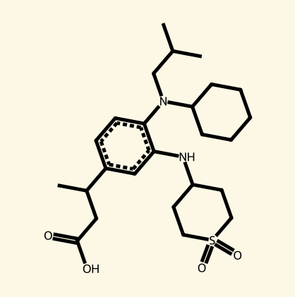 CC(C)CN(c1ccc(C(C)CC(=O)O)cc1NC1CCS(=O)(=O)CC1)C1CCCCC1